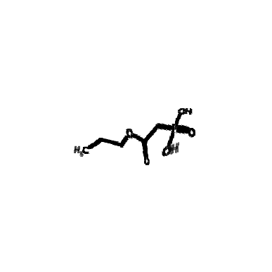 CCCOC(=O)CP(=O)(O)O